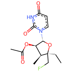 CC[C@@]1(CF)O[C@@H](n2ccc(=O)[nH]c2=O)[C@H](OC(C)=O)[C@@H]1C